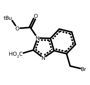 CC(C)(C)OC(=O)n1c(C(=O)O)nc2c(CBr)cccc21